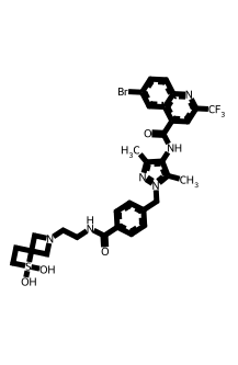 Cc1nn(Cc2ccc(C(=O)NCCN3CC4(CCS4(O)O)C3)cc2)c(C)c1NC(=O)c1cc(C(F)(F)F)nc2ccc(Br)cc12